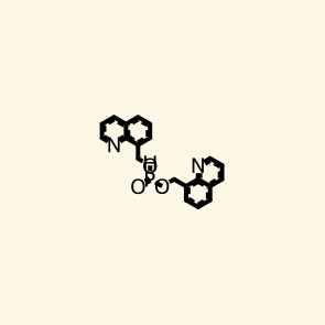 O=[PH](OCc1cccc2cccnc12)OCc1cccc2cccnc12